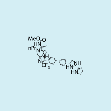 CCCN(Cc1nc(C(F)(F)F)c(-c2ccc(-c3ccc(C4=CNC([C@@H]5CCCN5)N4)cc3)cc2)[nH]1)C(=O)[C@H](C)NC(=O)OC